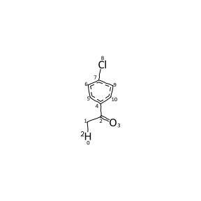 [2H]CC(=O)c1ccc(Cl)cc1